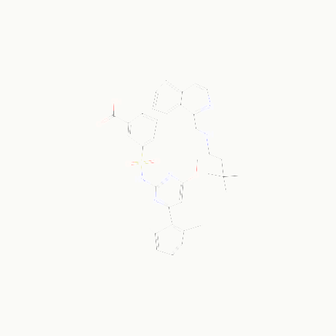 Cc1cccc(C)c1-c1cc(OC[C@@H](CC(C)(C)C)NCc2nccc3ccccc23)nc(NS(=O)(=O)c2cccc(C(=O)O)c2)n1